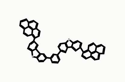 c1cc(-c2ccc3sc4ccc(-c5ccc6ccc7cccc8ccc5c6c78)cc4c3c2)cc(-c2ccc3sc4ccc(-c5ccc6ccc7cccc8ccc5c6c78)cc4c3c2)c1